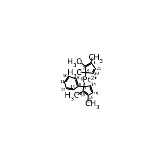 CC1=C(C)[C](C)([Pt+2][C]2(c3ccccc3)C=CC(C)=C2C)C=C1